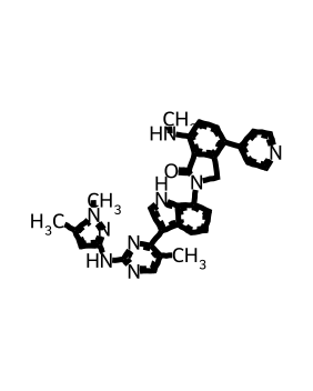 CNc1ccc(-c2ccncc2)c2c1C(=O)N(c1cccc3c(-c4nc(Nc5cc(C)n(C)n5)ncc4C)c[nH]c13)C2